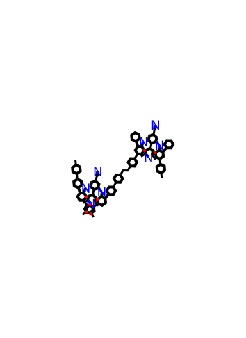 Cc1ccc(-c2ccc3c(c2)c2ccccc2n3-c2cc(C#N)cc(-n3c4ccccc4c4cc(-c5ccc(CCc6ccc(-c7ccc8c9ccc(-c%10ccc(C)cc%10)cc9n(-c9cc(C#N)cc(-n%10c%11cc(-c%12ccc(C)cc%12)ccc%11c%11ccc(-c%12ccc(C)cc%12)cc%11%10)c9-c9cc(C)nc(C)c9)c8c7)cc6)cc5)ccc43)c2-c2cc(C)nc(C)c2)cc1